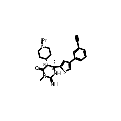 C#Cc1cccc(-c2csc([C@@]3(C)NC(=N)N(C)C(=O)[C@@H]3C3CCN(C(C)C)CC3)c2)c1